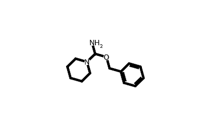 N[C](OCc1ccccc1)N1CCCCC1